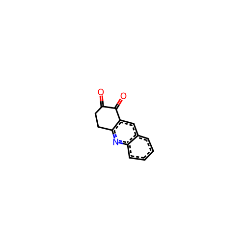 O=C1CCc2nc3ccccc3cc2C1=O